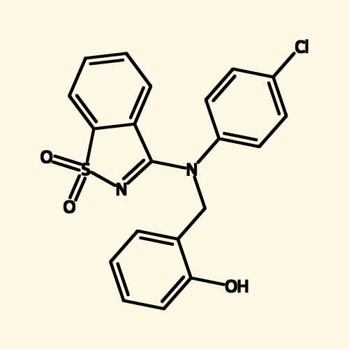 O=S1(=O)N=C(N(Cc2ccccc2O)c2ccc(Cl)cc2)c2ccccc21